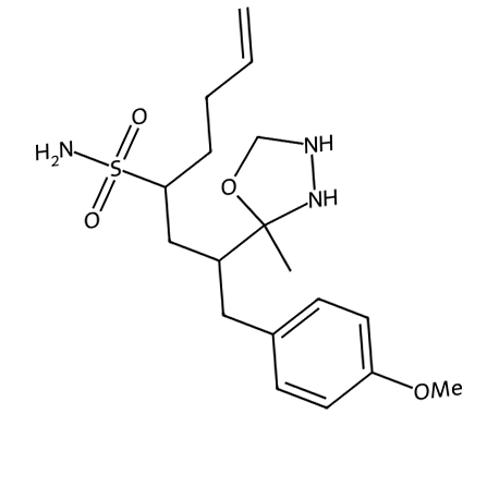 C=CCCC(CC(Cc1ccc(OC)cc1)C1(C)NNCO1)S(N)(=O)=O